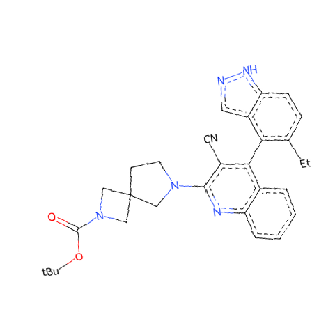 CCc1ccc2[nH]ncc2c1-c1c(C#N)c(N2CCC3(CN(C(=O)OC(C)(C)C)C3)C2)nc2ccccc12